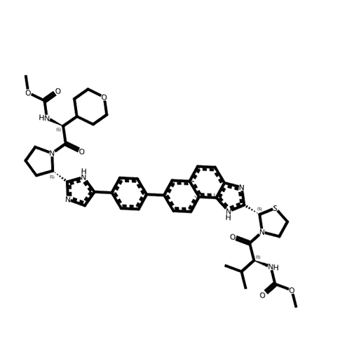 COC(=O)N[C@H](C(=O)N1CCS[C@H]1c1nc2ccc3cc(-c4ccc(-c5cnc([C@@H]6CCCN6C(=O)[C@@H](NC(=O)OC)C6CCOCC6)[nH]5)cc4)ccc3c2[nH]1)C(C)C